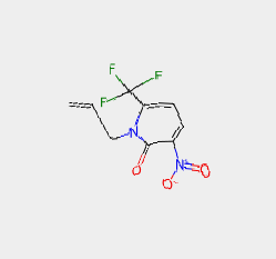 C=CCn1c(C(F)(F)F)ccc([N+](=O)[O-])c1=O